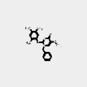 COc1cn(Cc2ccccc2)c(Nc2cc(C)c(C)cc2C)nc1=O